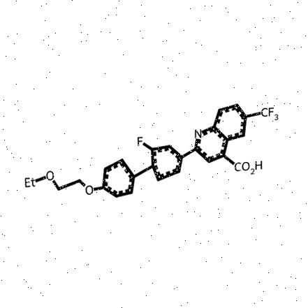 CCOCCOc1ccc(-c2ccc(-c3cc(C(=O)O)c4cc(C(F)(F)F)ccc4n3)cc2F)cc1